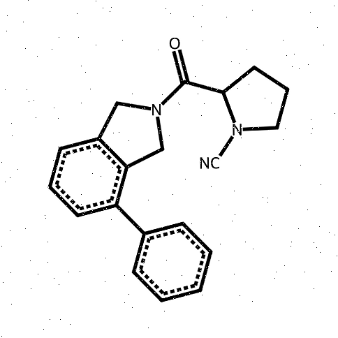 N#CN1CCCC1C(=O)N1Cc2cccc(-c3ccccc3)c2C1